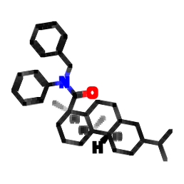 CC(C)C1CC[C@H]2C(CCC3[C@](C)(C(=O)N(Cc4ccccc4)c4ccccc4)CCC[C@@]32C)C1